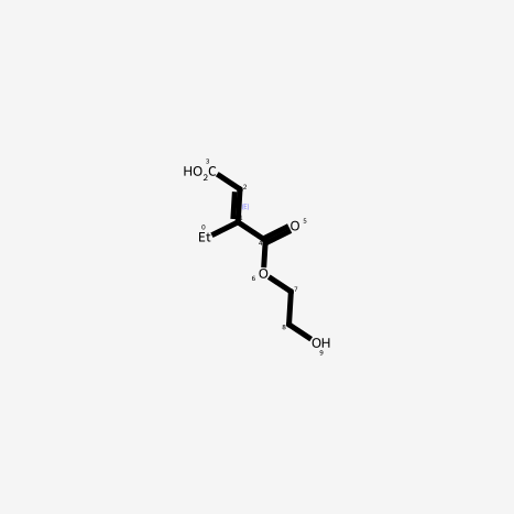 CC/C(=C\C(=O)O)C(=O)OCCO